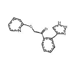 O=C(COc1ccccn1)c1ccccc1-c1c[nH]nn1